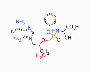 CC(Cn1cnc2c(N)ncnc21)OCP(=O)(NC(C)C(=O)O)Oc1ccccc1.O